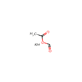 CC(=O)OC=O.[KH]